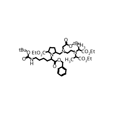 CCOC(=O)C(C)N(CCN(CC(=O)OC(C)(C)C)CC1CCC(C(=O)OCC)N1C(CCCCNC(=O)OC(C)(C)C)C(=O)OCc1ccccc1)C(C)C(=O)OCC